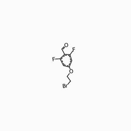 O=Cc1c(F)cc(OCCBr)cc1F